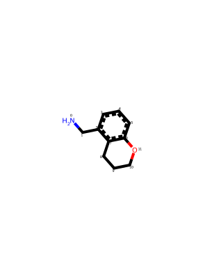 NCc1cccc2c1CCCO2